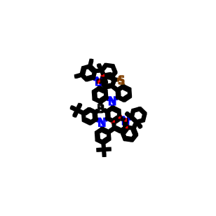 Cc1cc(C)c2c(c1)N(c1ccc3c(c1)N(c1cccc4sc5ccccc5c14)c1cc(N4c5ccccc5C5(C)CCCCC45C)cc4c1B3c1cc(C(C)(C)C)ccc1N4c1ccc(C(C)(C)C)cc1-c1ccccc1)C1(C)CCCCC21C